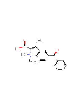 CC1=C(C(=O)O)[N+](C)(C)c2ccc(C(=O)c3ccccc3)cc21